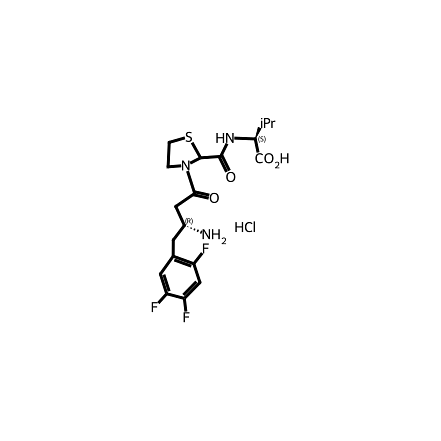 CC(C)[C@H](NC(=O)C1SCCN1C(=O)C[C@H](N)Cc1cc(F)c(F)cc1F)C(=O)O.Cl